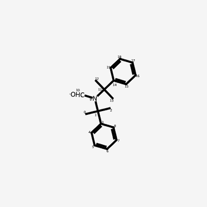 CC(C)(c1ccccc1)N([C]=O)C(C)(C)c1ccccc1